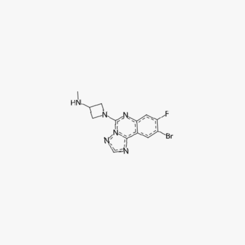 CNC1CN(c2nc3cc(F)c(Br)cc3c3ncnn23)C1